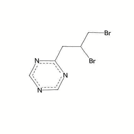 BrCC(Br)Cc1ncncn1